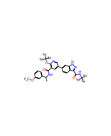 [2H]C([2H])([2H])NC(=O)c1n[nH]c2cc(-c3cnc(OC([2H])([2H])[2H])c(C(=O)NC(C)c4cccc(OC(F)(F)F)c4)c3)ccc12